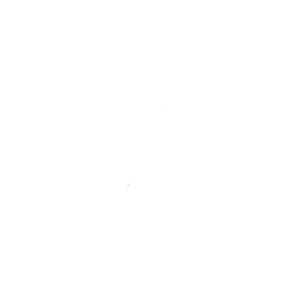 C/C=C/CC1CCC(C2CCC(COCC)CC2)CC1